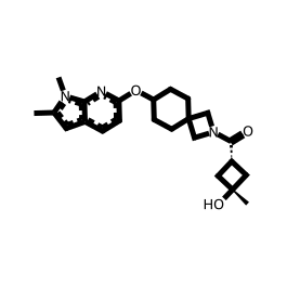 Cc1cc2ccc(OC3CCC4(CC3)CN(C(=O)[C@H]3C[C@@](C)(O)C3)C4)nc2n1C